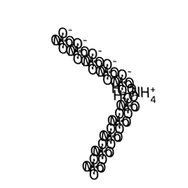 O.O.[NH4+].[O]=[Mo](=[O])([O-])[O-].[O]=[Mo](=[O])([O-])[O-].[O]=[Mo](=[O])([O-])[O-].[O]=[Mo](=[O])([O-])[O-].[O]=[Mo](=[O])([O-])[O-].[O]=[Mo](=[O])([O-])[O-].[O]=[Mo](=[O])([O-])[O-].[O]=[Mo](=[O])([O-])[O-].[O]=[Mo](=[O])([O-])[O-].[O]=[Mo](=[O])([O-])[O-]